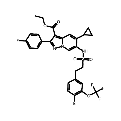 CCOC(=O)c1c(-c2ccc(F)cc2)nn2cc(NS(=O)(=O)CCc3ccc(Br)c(OC(F)(F)F)c3)c(C3CC3)cc12